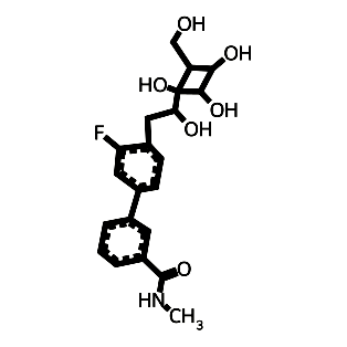 CNC(=O)c1cccc(-c2ccc(CC(O)C3(O)C(O)C(O)C3CO)c(F)c2)c1